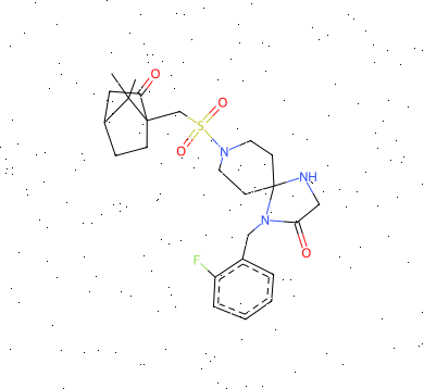 CC1(C)C2CCC1(CS(=O)(=O)N1CCC3(CC1)NCC(=O)N3Cc1ccccc1F)C(=O)C2